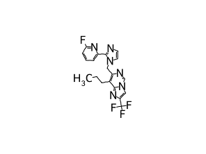 CCCc1c(Cn2ccnc2-c2cccc(F)n2)ncn2cc(C(F)(F)F)nc12